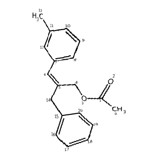 CC(=O)OC/C(=C\c1cccc(C)c1)Cc1ccccc1